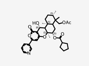 CC(=O)OCC1(C)C2C[C@H](OC(=O)C3CCCC3)[C@@]3(C)Oc4cc(-c5cccnc5)oc(=O)c4[C@H](O)C3[C@@]2(C)CC[C@@H]1C